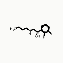 CCCCNC[C@H](O)c1cccc(F)c1F